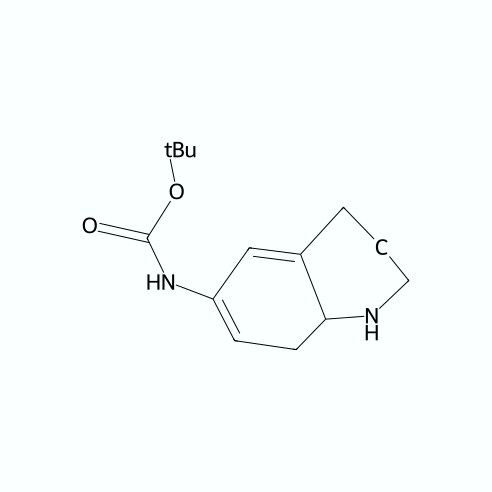 CC(C)(C)OC(=O)NC1=CCC2NCCCC2=C1